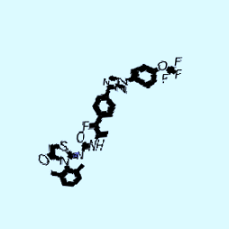 Cc1cccc(C)c1N1C(=O)CS/C1=N\C(=O)NC(C)C(F)c1ccc(-c2ncn(-c3ccc(OC(F)(F)F)cc3)n2)cc1